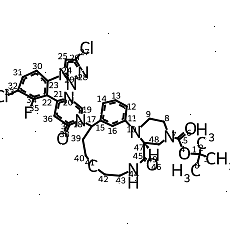 CC(C)(C)OC(=O)N1CCN2c3cccc(c3)C(n3cnc(-c4c(-n5cc(Cl)nn5)ccc(Cl)c4F)cc3=O)CCCCCNC(=O)[C@H]2C1